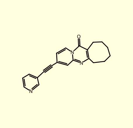 O=c1c2c(nc3cc(C#Cc4cccnc4)ccn13)CCCCCC2